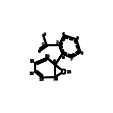 C=C(C)c1ccccc1C12C=CC=CC1O2